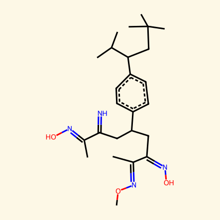 CO/N=C(C)/C(CC(CC(=N)/C(C)=N/O)c1ccc(C(CC(C)(C)C)C(C)C)cc1)=N\O